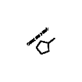 CC1CCCC1.[N-]=[N+]=C=O